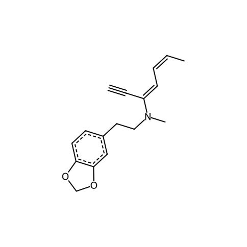 C#C/C(=C\C=C/C)N(C)CCc1ccc2c(c1)OCO2